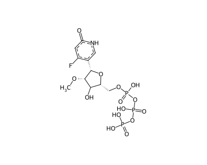 CO[C@H]1C(O)[C@@H](COP(=O)(O)OP(=O)(O)OP(=O)(O)O)O[C@H]1c1c[nH]c(=O)cc1F